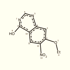 CCOc1cc2ncnc(O)c2cc1[N+](=O)[O-]